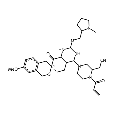 C=CC(=O)N1CCN(C2NC(OCC3CCCN3C)NC3C(=O)[C@]4(CCC32)Cc2ccc(OC)cc2CS4)CC1CC#N